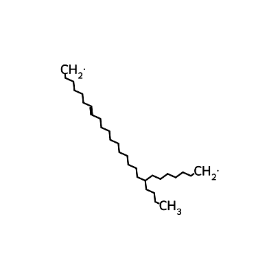 [CH2]CCCCC/C=C/CCCCCCCCCCC(CCCC)CCCCCC[CH2]